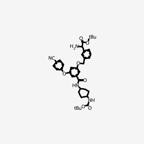 CC(C)(C)OC(=O)NC1CCC(NC(=O)c2cc(OCc3cccc(C(N)C(=O)OC(C)(C)C)c3)cc(Oc3ccc(C#N)cc3)c2)CC1